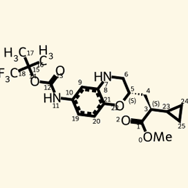 COC(=O)[C@@H](C[C@H]1CNc2cc(NC(=O)OC(C)(C)C(F)(F)F)ccc2O1)C1CC1